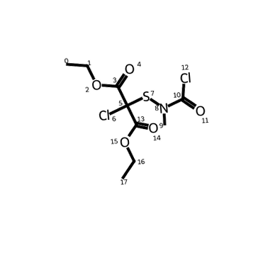 CCOC(=O)C(Cl)(SN(C)C(=O)Cl)C(=O)OCC